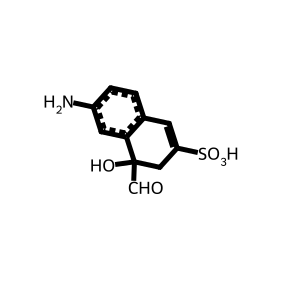 Nc1ccc2c(c1)C(O)(C=O)CC(S(=O)(=O)O)=C2